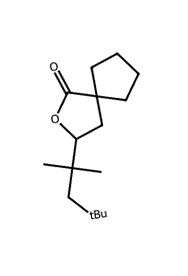 CC(C)(C)CC(C)(C)C1CC2(CCCC2)C(=O)O1